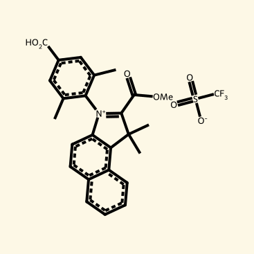 COC(=O)C1=[N+](c2c(C)cc(C(=O)O)cc2C)c2ccc3ccccc3c2C1(C)C.O=S(=O)([O-])C(F)(F)F